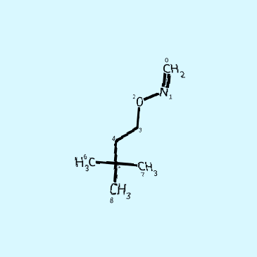 C=NOCCC(C)(C)C